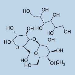 O.OCC(O)C(O)C(O)C(O)CO.OC[C@H]1O[C@@H](O[C@H]2[C@H](O)[C@@H](O)C(O)O[C@@H]2CO)[C@H](O)[C@@H](O)[C@H]1O